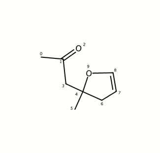 CC(=O)CC1(C)CC=CO1